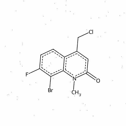 Cn1c(=O)cc(CCl)c2ccc(F)c(Br)c21